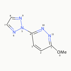 COc1ccc(-n2nccn2)nn1